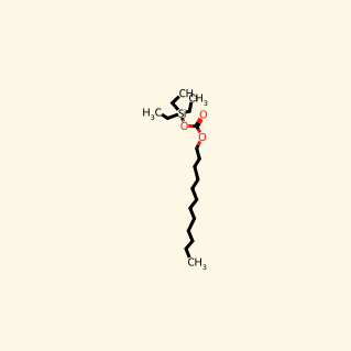 CCCCCCCCCCCCOC(=O)O[Si](CC)(CC)CC